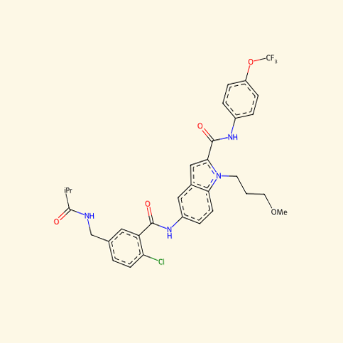 COCCCn1c(C(=O)Nc2ccc(OC(F)(F)F)cc2)cc2cc(NC(=O)c3cc(CNC(=O)C(C)C)ccc3Cl)ccc21